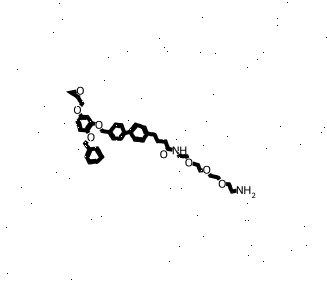 NCCOCCOCCOCCNC(=O)CCCc1ccc(-c2ccc(COc3cc(OCC4CO4)ccc3OCc3ccccc3)cc2)cc1